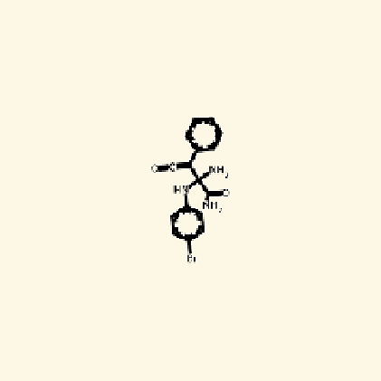 NC(=O)C(N)(Nc1ccc(Br)cc1)C(=C=O)c1ccccc1